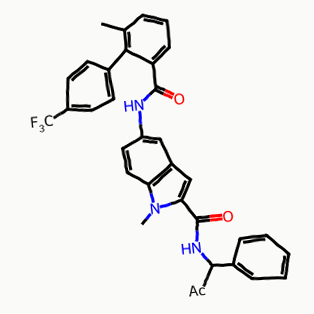 CC(=O)C(NC(=O)c1cc2cc(NC(=O)c3cccc(C)c3-c3ccc(C(F)(F)F)cc3)ccc2n1C)c1ccccc1